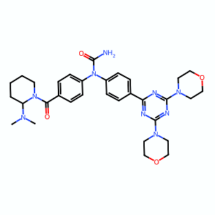 CN(C)C1CCCCN1C(=O)c1ccc(N(C(N)=O)c2ccc(-c3nc(N4CCOCC4)nc(N4CCOCC4)n3)cc2)cc1